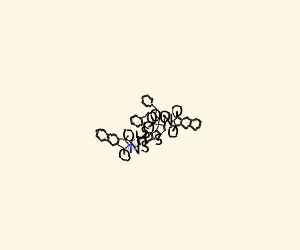 O=C1/C(=N/c2cc3sc4c5c(sc4c3s2)C=C(N=c2c(=O)c3cc4ccccc4cc3c2=O)C5(C(=O)OCc2ccccc2)C(=O)OCc2ccccc2)C(O)c2cc3ccccc3cc21